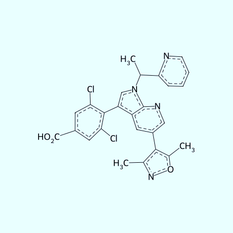 Cc1noc(C)c1-c1cnc2c(c1)c(-c1c(Cl)cc(C(=O)O)cc1Cl)cn2C(C)c1ccccn1